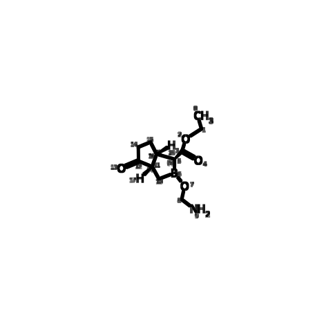 CCOC(=O)[C@H]1B(OCN)C[C@@H]2C(=O)CC[C@@H]21